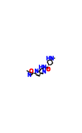 CN[C@H]1CC[C@H](C(=O)Nc2cc3nc(-c4cnc(C)o4)ccc3cn2)CC1